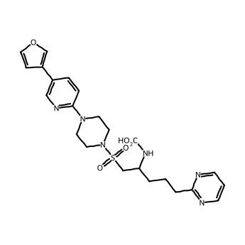 O=C(O)NC(CCCc1ncccn1)CS(=O)(=O)N1CCN(c2ccc(-c3ccoc3)cn2)CC1